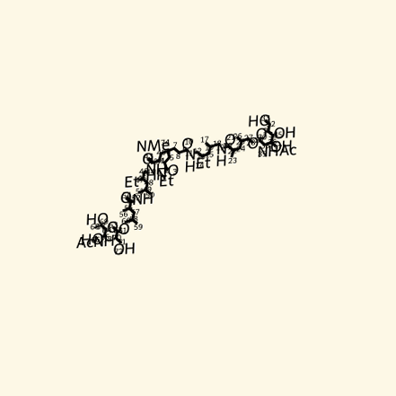 CCNC(=O)CCC(CCC(=O)NCC(CC)CC(C)CNC(=O)C(C)CC(C)COC1OC(CO)C(O)C(O)C1NC(C)=O)(CCC(=O)NCC(CC)CC(C)CNC(=O)C(C)CC(C)COC(OC(CO)[C@@H](C)O)[C@H](CO)NC(C)=O)NC